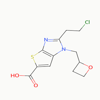 O=C(O)c1cc2c(nc(CCCl)n2CC2CCO2)s1